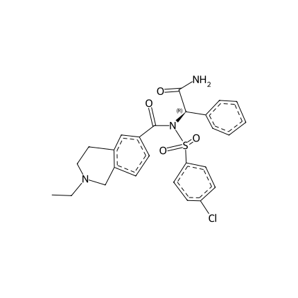 CCN1CCc2cc(C(=O)N([C@@H](C(N)=O)c3ccccc3)S(=O)(=O)c3ccc(Cl)cc3)ccc2C1